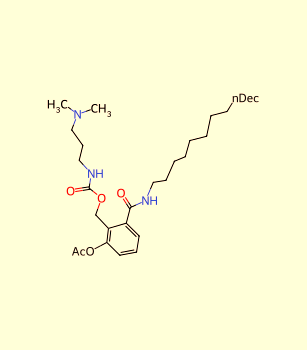 CCCCCCCCCCCCCCCCCCNC(=O)c1cccc(OC(C)=O)c1COC(=O)NCCCN(C)C